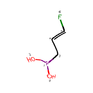 OP(O)CC=CF